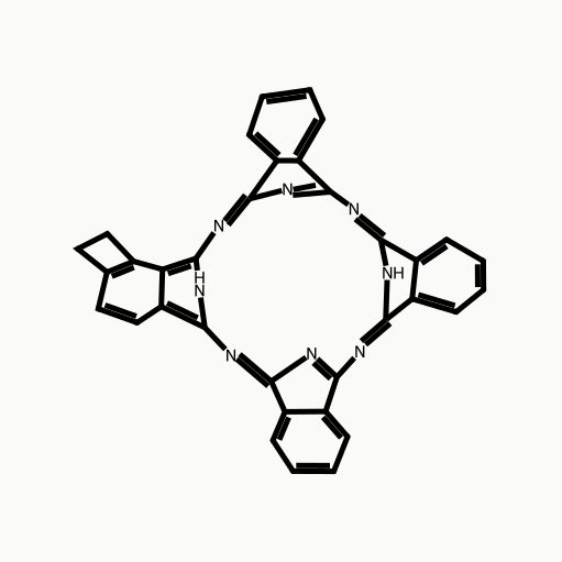 c1ccc2c(c1)-c1nc-2nc2[nH]c(nc3nc(nc4[nH]c(n1)c1ccccc41)-c1ccccc1-3)c1c3c(ccc21)CC3